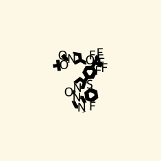 CN1CCN(C(=O)N2CC[C@@](Sc3ccc(F)cc3)(c3ccc(C(OCC4CCN(C(=O)OC(C)(C)C)C4)(C(F)(F)F)C(F)(F)F)cc3)C2)CC1